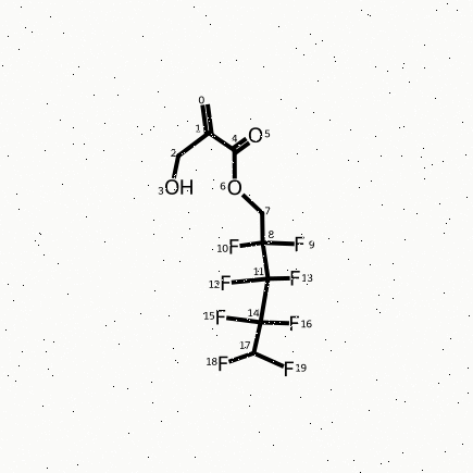 C=C(CO)C(=O)OCC(F)(F)C(F)(F)C(F)(F)C(F)F